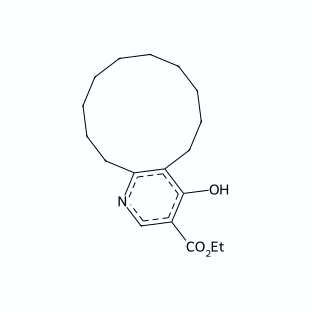 CCOC(=O)c1cnc2c(c1O)CCCCCCCCCC2